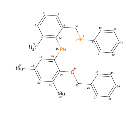 Cc1cccc(CPc2ccccc2)c1Pc1cc(C(C)(C)C)cc(C(C)(C)C)c1OCc1ccccc1